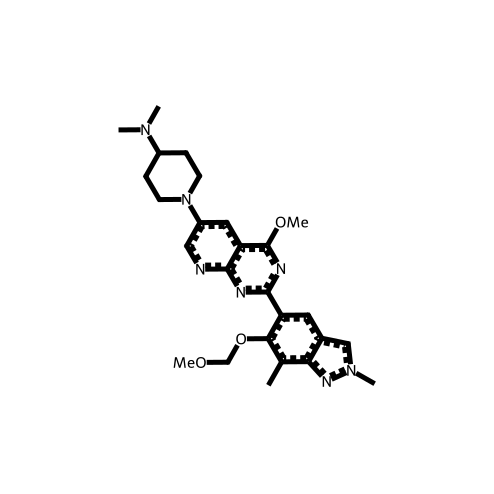 COCOc1c(-c2nc(OC)c3cc(N4CCC(N(C)C)CC4)cnc3n2)cc2cn(C)nc2c1C